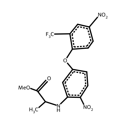 COC(=O)C(C)Nc1cc(Oc2ccc([N+](=O)[O-])cc2C(F)(F)F)ccc1[N+](=O)[O-]